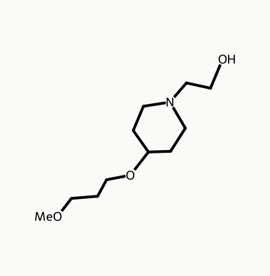 COCCCOC1CCN(CCO)CC1